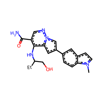 CCC(CO)Nc1c(C(N)=O)cnn2cc(-c3ccc4c(ccn4C)c3)cc12